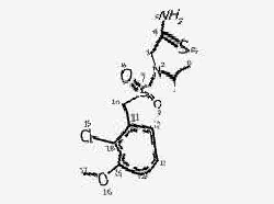 CCN(CC(N)=S)S(=O)(=O)Cc1cccc(OC)c1Cl